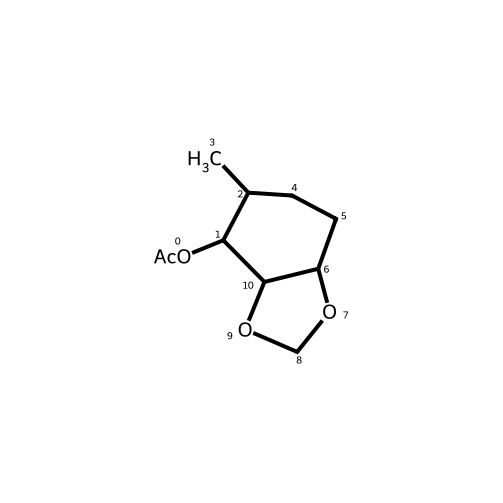 CC(=O)OC1C(C)CCC2OCOC21